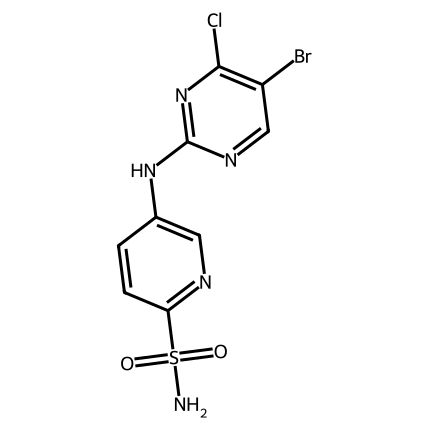 NS(=O)(=O)c1ccc(Nc2ncc(Br)c(Cl)n2)cn1